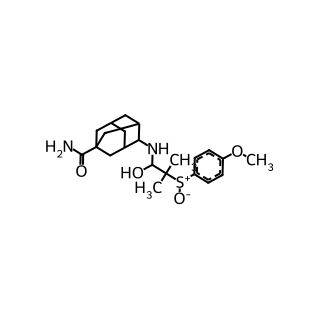 COc1ccc([S+]([O-])C(C)(C)C(O)NC2C3CC4CC2CC(C(N)=O)(C4)C3)cc1